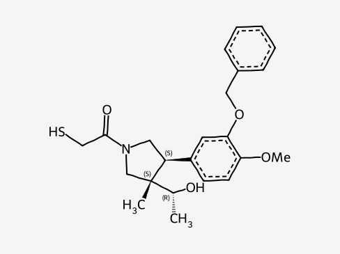 COc1ccc([C@@H]2CN(C(=O)CS)C[C@@]2(C)[C@@H](C)O)cc1OCc1ccccc1